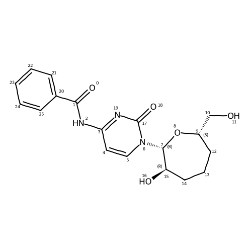 O=C(Nc1ccn([C@@H]2O[C@H](CO)CCC[C@H]2O)c(=O)n1)c1ccccc1